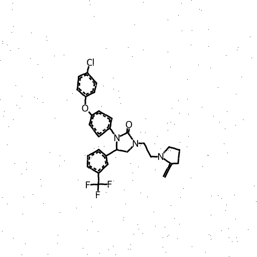 C=C1CCCN1CCN1CC(c2cccc(C(F)(F)F)c2)N(c2ccc(Oc3ccc(Cl)cc3)cc2)C1=O